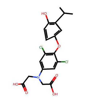 CC(C)c1cc(Oc2c(Cl)cc(N(CC(=O)O)CC(=O)O)cc2Cl)ccc1O